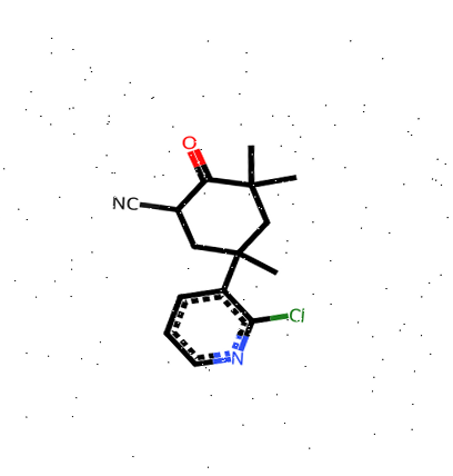 CC1(C)CC(C)(c2cccnc2Cl)CC(C#N)C1=O